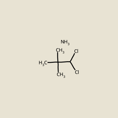 CC(C)(C)C(Cl)Cl.N